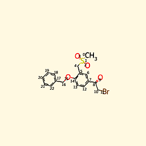 CS(=O)(=O)Cc1cc(C(=O)CBr)ccc1OCc1ccccc1